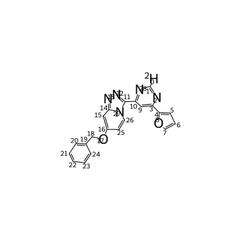 [2H]c1nc(-c2ccco2)cc(-c2nnc3cc(OCc4ccccc4)ccn23)n1